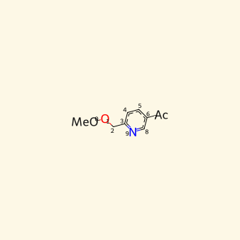 COOCc1ccc(C(C)=O)cn1